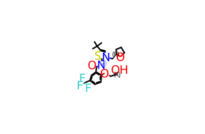 C[C@@H](O)COc1ccc(C(F)(F)F)cc1C(=O)/N=c1\sc(C(C)(C)C)cn1C[C@H]1CCCO1